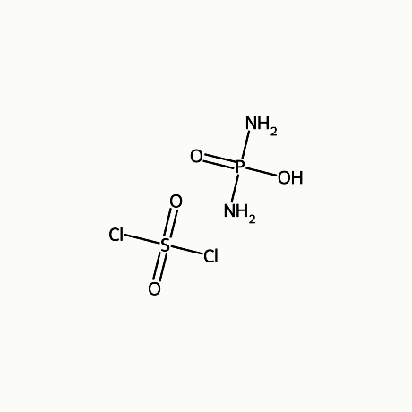 NP(N)(=O)O.O=S(=O)(Cl)Cl